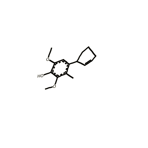 COc1cc(C2C=CCCC2)c(C)c(OC)c1O